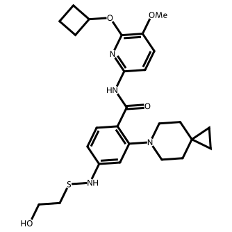 COc1ccc(NC(=O)c2ccc(NSCCO)cc2N2CCC3(CC2)CC3)nc1OC1CCC1